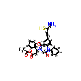 NCC(S)C#Cc1ccc2c(c1)C(=O)N(C(CC(=O)OC(=O)C(F)(F)F)c1ccccc1)CC(=O)N2c1ccccc1